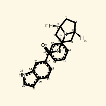 O=C(NC1C[C@H]2CC[C@@H](C1)N2c1ccccc1)c1ccc2cc[nH]c2c1